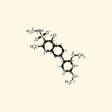 CNS(=O)(=O)c1c(C)nc2cc(-c3cnc(OC)nc3OC)ccc2c1Cl